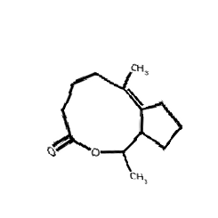 CC1=C2CCCC2C(C)OC(=O)CCC1